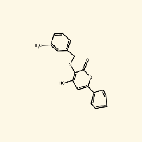 Cc1cccc(CSc2c(O)cc(-c3ccccc3)oc2=O)c1